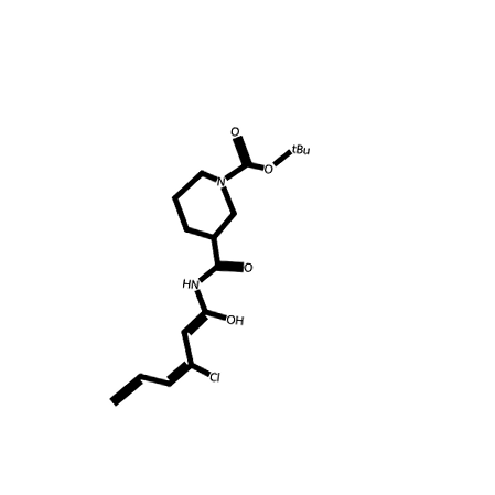 C=C/C=C(Cl)\C=C(/O)NC(=O)C1CCCN(C(=O)OC(C)(C)C)C1